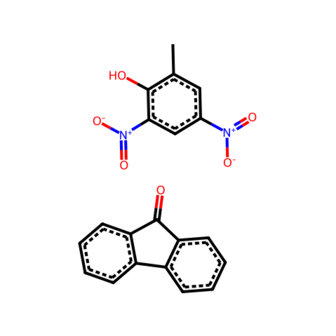 Cc1cc([N+](=O)[O-])cc([N+](=O)[O-])c1O.O=C1c2ccccc2-c2ccccc21